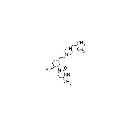 C=C1CCN(c2cc(CCN3CCN(CC(C)C)CC3)ccc2C)C(=O)N1